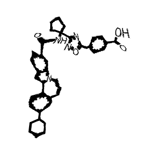 O=C(O)c1ccc(-c2nc(C3(NC(=O)c4ccc5cc6n(c5c4)CC=Cc4cc(C5CCCCC5)ccc4-6)CCCC3)no2)cc1